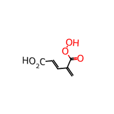 C=C(C=CC(=O)O)C(=O)OO